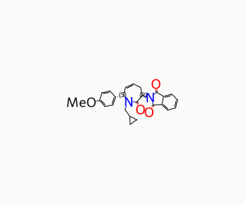 COc1ccc([C@@H]2C=CC[C@@H](N3C(=O)c4ccccc4C3=O)C(=O)N2CC2CC2)cc1